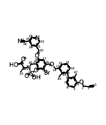 C#CCOc1cccc(-c2cccc(COc3cc(OCc4cncc(C#N)c4)c(CN([C@@H](C)C(=O)O)S(=O)(=O)O)cc3Br)c2C)c1C